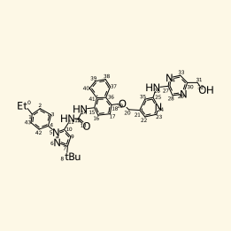 CCc1ccc(-n2nc(C(C)(C)C)cc2NC(=O)Nc2ccc(OCc3ccnc(Nc4cnc(CO)cn4)c3)c3ccccc23)cc1